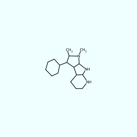 CC1C(C2CCCCC2)C2C3CCCNC3NC2N1C